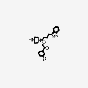 COc1cccc(C(=O)COC(CCCc2nsc3ccccc23)N2CCNCC2)c1